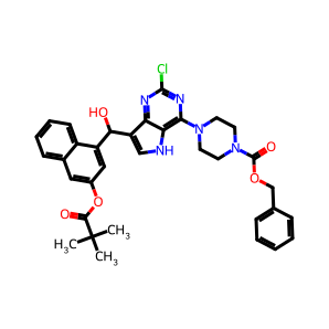 CC(C)(C)C(=O)Oc1cc(C(O)c2c[nH]c3c(N4CCN(C(=O)OCc5ccccc5)CC4)nc(Cl)nc23)c2ccccc2c1